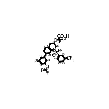 CC(C)(O[C@H]1Cc2ccc(-c3cc(F)cc(OC(F)F)c3)cc2N(S(=O)(=O)c2cccc(C(F)(F)F)c2)C1)C(=O)O